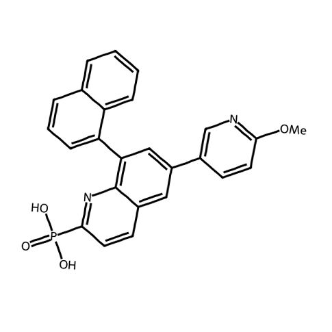 COc1ccc(-c2cc(-c3cccc4ccccc34)c3nc(P(=O)(O)O)ccc3c2)cn1